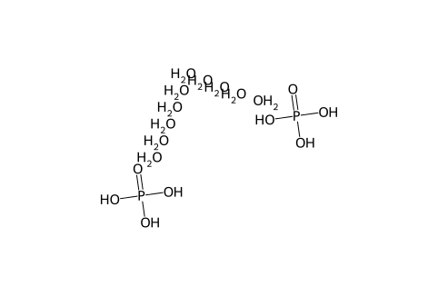 O.O.O.O.O.O.O.O.O.O.O=P(O)(O)O.O=P(O)(O)O